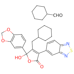 O=C1OC(O)(c2ccc3c(c2)OCO3)C(CC2CCCCC2)=C1c1ccc2nsnc2c1.O=CC1CCCCC1